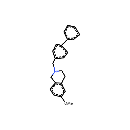 COc1ccc2c(c1)CCN(Cc1ccc(-c3ccccc3)cc1)C2